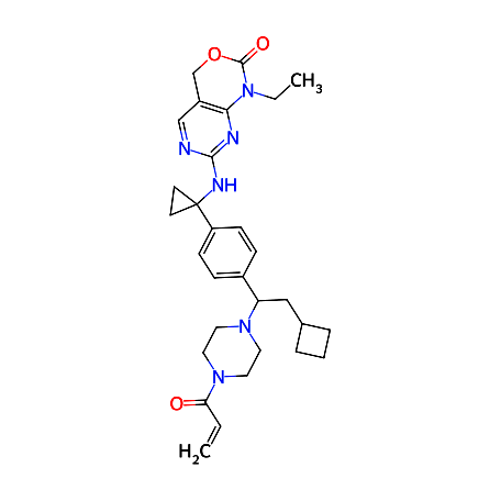 C=CC(=O)N1CCN(C(CC2CCC2)c2ccc(C3(Nc4ncc5c(n4)N(CC)C(=O)OC5)CC3)cc2)CC1